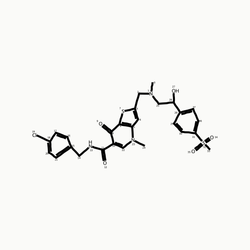 CN(Cc1cc2c(s1)c(=O)c(C(=O)NCc1ccc(Cl)cc1)cn2C)CC(O)c1ccc(S(C)(=O)=O)cc1